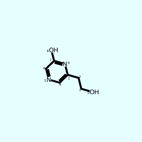 OCCc1cncc(O)n1